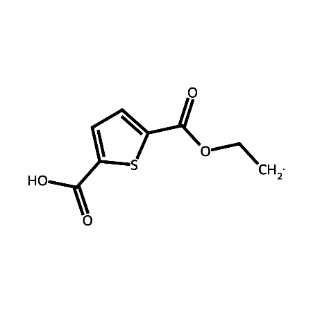 [CH2]COC(=O)c1ccc(C(=O)O)s1